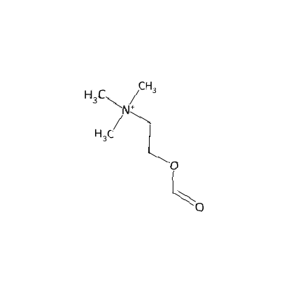 C[N+](C)(C)CCOC=O